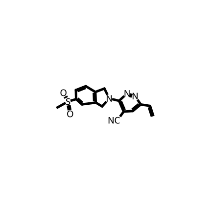 C=Cc1cc(C#N)c(N2Cc3ccc(S(C)(=O)=O)cc3C2)nn1